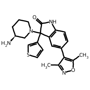 Cc1noc(C)c1-c1ccc2c(c1)C(c1ccsc1)(N1CCC[C@H](N)C1)C(=O)N2